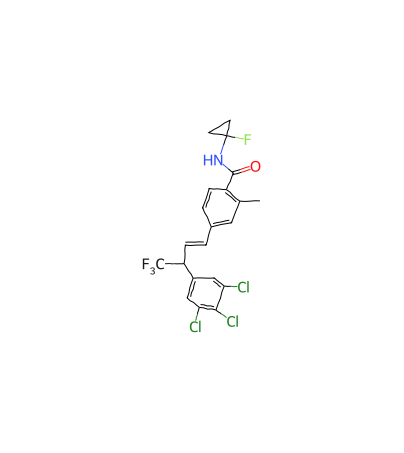 Cc1cc(/C=C/C(c2cc(Cl)c(Cl)c(Cl)c2)C(F)(F)F)ccc1C(=O)NC1(F)CC1